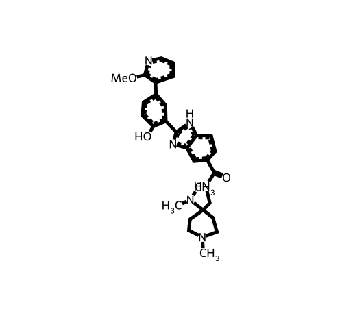 COc1ncccc1-c1ccc(O)c(-c2nc3cc(C(=O)NCC4(N(C)C)CCN(C)CC4)ccc3[nH]2)c1